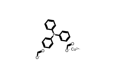 O=C[O-].O=C[O-].[Cu+2].c1ccc(P(c2ccccc2)c2ccccc2)cc1